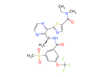 CCN(C)C(=O)c1cnc(-c2nccnc2[C@H](C)NC(=O)c2cc(OC(F)(F)F)cc(S(C)(=O)=O)c2)s1